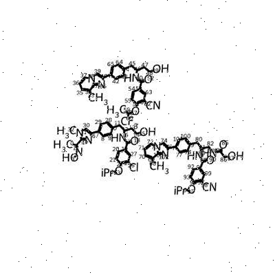 CC(=NO)c1nc(-c2ccc(CC(CCO)NC(=O)c3ccc(OC(C)C)c(Cl)c3)cc2)cn1C.Cc1cccn2cc(-c3ccc(CC(CCO)NC(=O)c4ccc(OC(C)C(F)(F)F)c(C#N)c4)cc3)nc12.Cc1cccn2cc(-c3ccc(CC(CNC(=O)CO)NC(=O)c4ccc(OC(C)C)c(C#N)c4)cc3)nc12